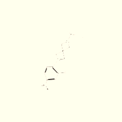 CC(C)N1CC2(CN(c3ccc([N+](=O)[O-])cc3F)C2)C1